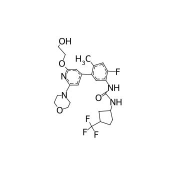 Cc1cc(F)c(NC(=O)NC2CCC(C(F)(F)F)C2)cc1-c1cc(OCCO)nc(N2CCOCC2)c1